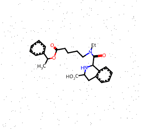 CCN(CCCCC(=O)OC(C)c1ccccc1)C(=O)C1NC(C(=O)O)Cc2ccccc21